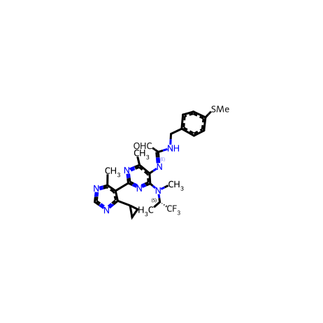 CSc1ccc(CN/C(C=O)=N/c2c(C)nc(-c3c(C)ncnc3C3CC3)nc2N(C)[C@@H](C)C(F)(F)F)cc1